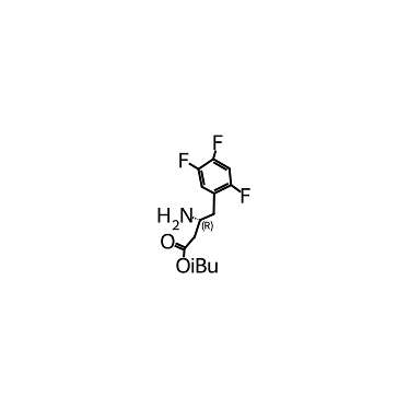 CC(C)COC(=O)C[C@H](N)Cc1cc(F)c(F)cc1F